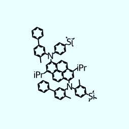 Cc1ccc(-c2ccccc2)cc1N(c1ccc([Si](C)(C)C)cc1)c1cc(C(C)C)c2ccc3c(N(c4ccc([Si](C)(C)C)cc4C)c4cc(-c5ccccc5)ccc4C)cc(C(C)C)c4ccc1c2c43